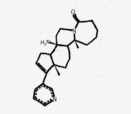 C[C@]12CCC3[C@@](N)(CCN4C(=O)CCCC[C@]34C)C1CC=C2c1cccnc1